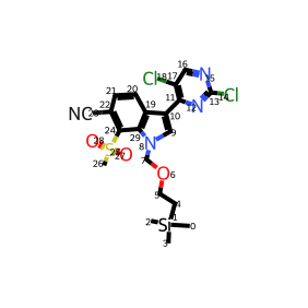 C[Si](C)(C)CCOCn1cc(-c2nc(Cl)ncc2Cl)c2ccc(C#N)c(S(C)(=O)=O)c21